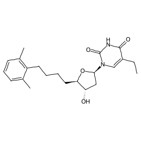 CCc1cn([C@H]2C[C@H](O)[C@@H](CCCCc3c(C)cccc3C)O2)c(=O)[nH]c1=O